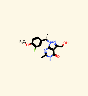 Cc1nc2c(c(CO)nn2[C@@H](C)c2ccc(OC(F)(F)F)c(F)c2)c(=O)[nH]1